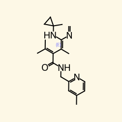 C=N/C(NC1(C)CC1)=C(\C)C(C(=O)NCc1cc(C)ccn1)=C(C)C